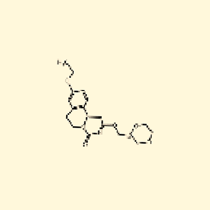 CCOc1ccc2c(c1)CCn1c-2cc(OC[C@@H]2COCCO2)nc1=O